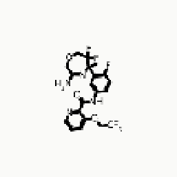 CC1(c2cc(NC(=O)c3ncccc3OCC(F)(F)F)ccc2F)N=C(N)COCC1(F)F